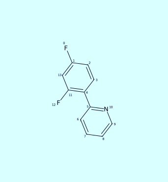 Fc1ccc(-c2[c]cccn2)c(F)c1